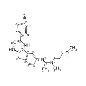 COCCCN(C)/C(C)=N/c1ccc2c(c1)[C@@H](NC(=O)c1ccc(Br)cc1)[C@H](O)C2